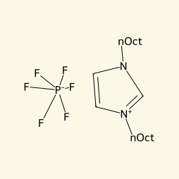 CCCCCCCCn1cc[n+](CCCCCCCC)c1.F[P-](F)(F)(F)(F)F